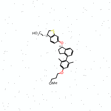 COCCCOc1cc(C)c(-c2cccc3c2CC[C@@H]3Oc2ccc3c(c2)SC[C@H]3CC(=O)O)c(C)c1